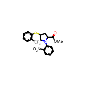 COC(=O)C1CC(Sc2ccccc2C(F)(F)F)CN1c1ccccc1[N+](=O)[O-]